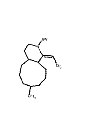 C/C=C1\C2CCCC(C)CCCC2CCN1C(C)C